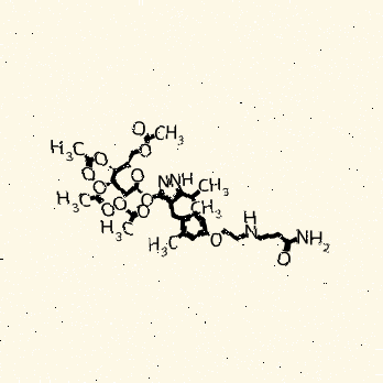 CC(=O)OC[C@H]1O[C@@H](Oc2n[nH]c(C(C)C)c2Cc2ccc(OCCNCCC(N)=O)cc2C)[C@H](OC(C)=O)[C@@H](OC(C)=O)[C@@H]1OC(C)=O